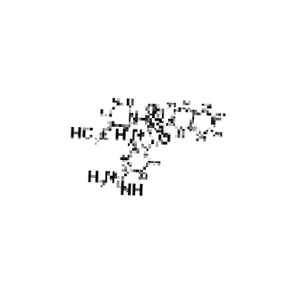 N=C(N)c1ccc(C[C@](N)(C(=O)N2CCCC(C(=O)O)C2)S(=O)(=O)c2ccc3ccccc3c2)cc1